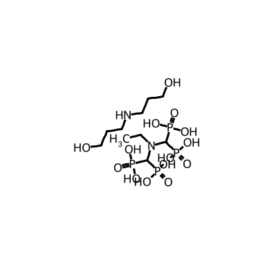 CCN(C(P(=O)(O)O)P(=O)(O)O)C(P(=O)(O)O)P(=O)(O)O.OCCCNCCCO